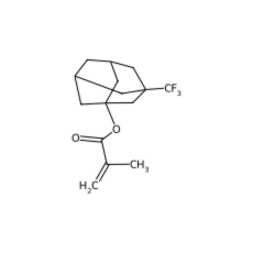 C=C(C)C(=O)OC12CC3CC(C1)CC(C(F)(F)F)(C3)C2